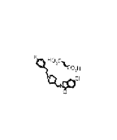 O=C(O)C=CC(=O)O.O=C1c2ccc(Cl)cc2CN1CC1CCN(CCc2ccc(F)cc2)CC1